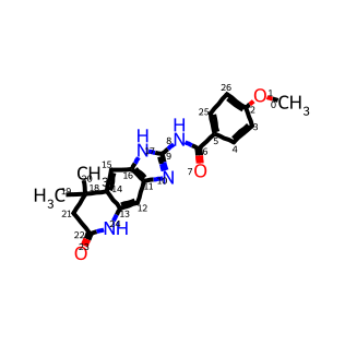 COc1ccc(C(=O)Nc2nc3cc4c(cc3[nH]2)C(C)(C)CC(=O)N4)cc1